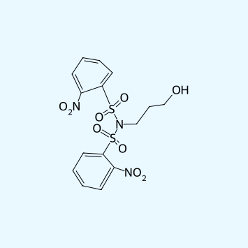 O=[N+]([O-])c1ccccc1S(=O)(=O)N(CCCO)S(=O)(=O)c1ccccc1[N+](=O)[O-]